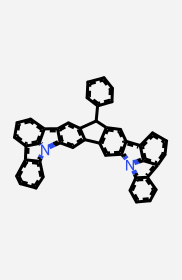 c1ccc(C2c3cc4c5cccc6c7ccccc7n(c4cc3-c3cc4c(cc32)c2cccc3c7ccccc7n4c32)c65)cc1